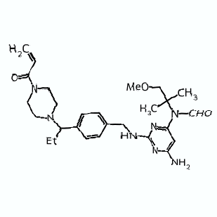 C=CC(=O)N1CCN(C(CC)c2ccc(CNc3nc(N)cc(N(C=O)C(C)(C)COC)n3)cc2)CC1